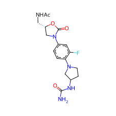 CC(=O)NC[C@H]1CN(c2ccc(N3CCC(NC(N)=O)C3)c(F)c2)C(=O)O1